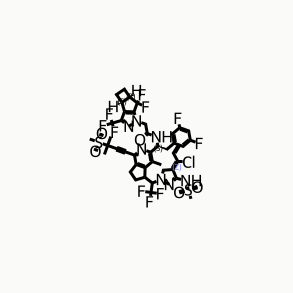 C=C/C(Cl)=C1\CN(C(C2CCc3c(C#CC(C)(C)S(C)(=O)=O)nc([C@H](Cc4cc(F)cc(F)c4)NC(=O)Cn4nc(C(F)(F)F)c5c4C(F)(F)[C@@H]4CC[C@H]54)c(C)c32)C(F)(F)F)N=C1NS(C)(=O)=O